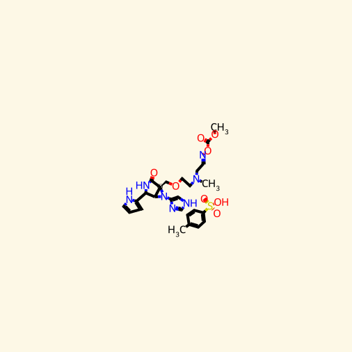 COC(=O)ON=CCN(C)CCOC[C@]12C(=O)NC(c3ccc[nH]3)C1N2c1c[nH]cn1.Cc1ccc(S(=O)(=O)O)cc1